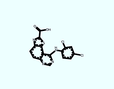 O=C(O)c1nc2ccc3ncnc(Nc4ccc(Cl)cc4Cl)c3c2s1